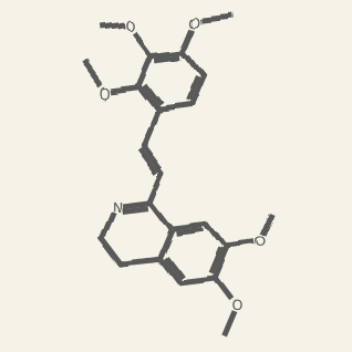 COc1cc2c(cc1OC)C(C=Cc1ccc(OC)c(OC)c1OC)=NCC2